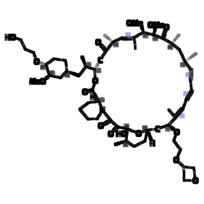 CO[C@@H]1/C(C)=C/[C@@H](C)C(=O)C[C@@H]([C@H](C)C[C@@H]2CC[C@@H](OCCCO)[C@H](OC)C2)OC(=O)[C@@H]2CCCCN2C(=O)C(=O)[C@]2(O)O[C@@H](CC[C@H]2C)C[C@H](OCCOC2COC2)/C(C)=C/C=C/C=C/[C@@H](C)C[C@@H](C)C(=O)[C@@H]1OC